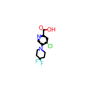 O=C(O)c1cc(Cl)c(N2CCC(F)(F)CC2)cn1